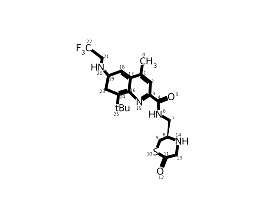 Cc1cc(C(=O)NC[C@@H]2CSC(=O)CN2)nc2c1=CC(NCC(F)(F)F)CC=2C(C)(C)C